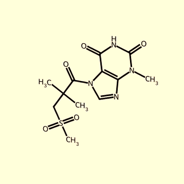 Cn1c(=O)[nH]c(=O)c2c1ncn2C(=O)C(C)(C)CS(C)(=O)=O